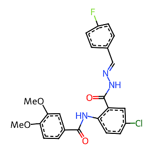 COc1ccc(C(=O)Nc2ccc(Cl)cc2C(=O)NN=Cc2ccc(F)cc2)cc1OC